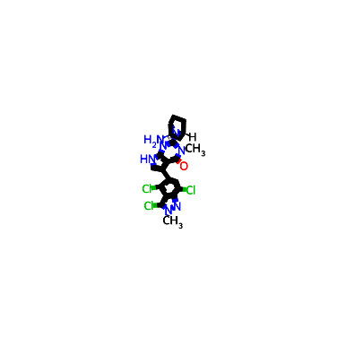 Cn1nc2c(Cl)cc(-c3c[nH]c4nc(N5C6CC[C@H]5C[C@@H]6N)n(C)c(=O)c34)c(Cl)c2c1Cl